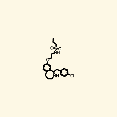 CCCS(=O)(=O)NCCOc1ccc2c(c1)C(Cc1ccc(Cl)cc1)NCCC2